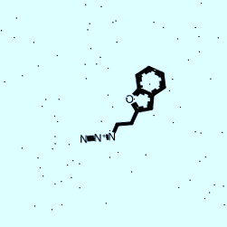 [N-]=[N+]=NCCc1cc2ccccc2o1